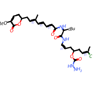 COC1=CCC(C/C=C(C)/C=C/C=C/C(=O)NC(C(=O)N/C=C\CC(C/C=C(\C)Cl)OC(=O)NN)C(C)(C)C)OC1=O